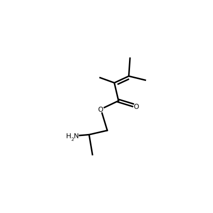 CC(C)=C(C)C(=O)OCC(C)N